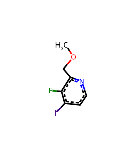 COCc1nccc(I)c1F